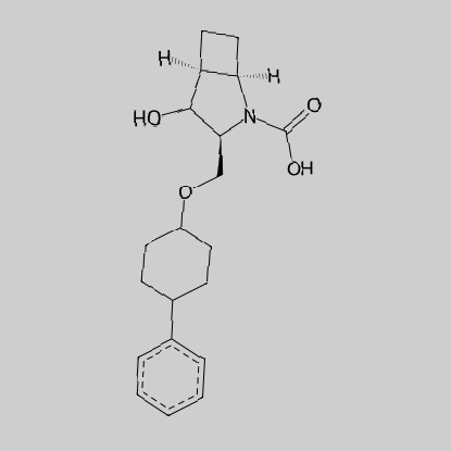 O=C(O)N1[C@@H]2CC[C@@H]2C(O)[C@@H]1COC1CCC(c2ccccc2)CC1